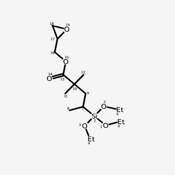 CCO[Si](OCC)(OCC)C(C)CC(C)(C)C(=O)OCC1CO1